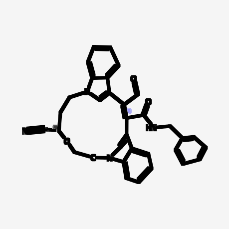 N#C[C@@H]1CCn2cc(c3ccccc32)/C(C=O)=C(/C(=O)NCc2ccccc2)c2cn(c3ccccc23)CCO1